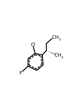 CC[C@H](C)c1ccc(F)cc1Cl